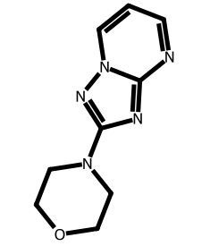 c1cnc2nc(N3CCOCC3)nn2c1